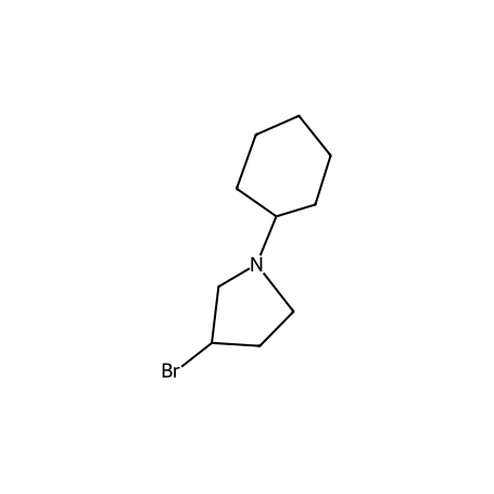 BrC1CCN(C2CCCCC2)C1